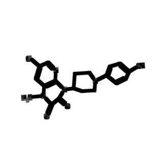 Cn1c(=O)c(=O)n(C2CCN(c3ccc(C#N)cc3)CC2)c2ncc(Cl)cc21